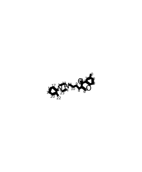 Cc1ccc2occ(CCCCN3CCN(c4ccccc4C)CC3)c(=O)c2c1